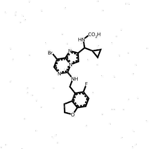 O=C(O)NC(c1cn2c(NCc3c(F)ccc4c3CCO4)ncc(Br)c2n1)C1CC1